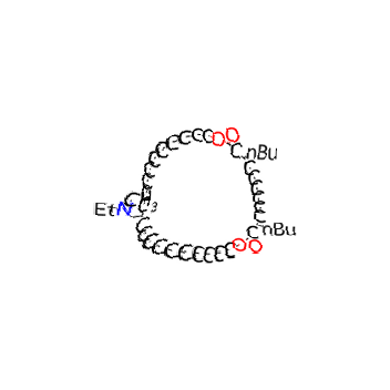 CCCCC1CCCCCCC(CCCC)CC(=O)OCCCCCCCCCCC(CN(C)CC)CCCCCCCCCCOC(=O)C1